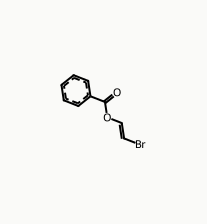 O=C(OC=CBr)c1ccccc1